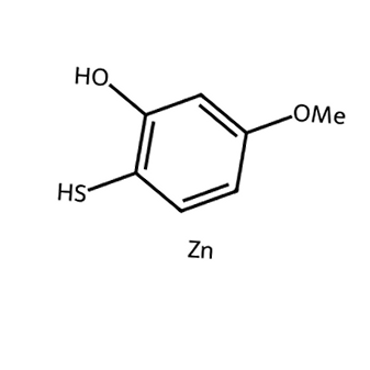 COc1ccc(S)c(O)c1.[Zn]